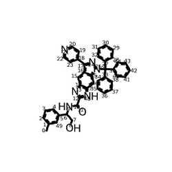 Cc1cccc(C(CO)NC(=O)c2nc3cc4c(-c5ccncc5)nn(C(c5ccccc5)(c5ccccc5)c5ccccc5)c4cc3[nH]2)c1